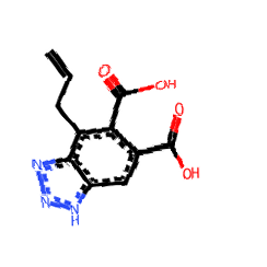 C=CCc1c(C(=O)O)c(C(=O)O)cc2[nH]nnc12